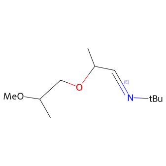 COC(C)COC(C)/C=N/C(C)(C)C